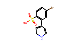 O=S(=O)(O)c1ccc(Br)cc1C1=CCNC=C1